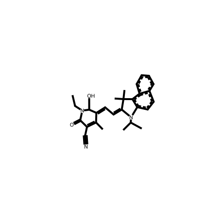 CCN1C(=O)C(C#N)=C(C)/C(=C\C=C2\N(C(C)C)c3ccc4ccccc4c3C2(C)C)C1O